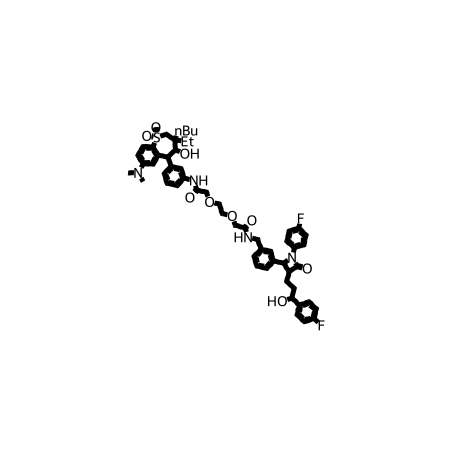 CCCCC1(CC)CS(=O)(=O)c2ccc(N(C)C)cc2C(c2cccc(NC(=O)COCCOCC(=O)NCc3cccc(C4C(CCC(O)c5ccc(F)cc5)C(=O)N4c4ccc(F)cc4)c3)c2)C1O